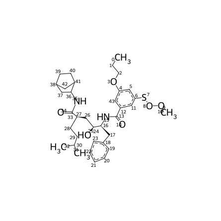 CCCOc1cc(SOOC)cc(C(=O)N[C@@H](Cc2ccccc2)[C@@H](O)C[C@@H](CCC(C)C)C(=O)NC2CC3CCC2C3)c1